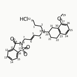 CCCN(CC=CCN1C(=O)c2ccccc2S1(=O)=O)C1CCc2cccc(OC)c2C1.Cl